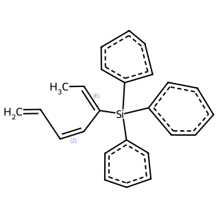 C=C/C=C\C(=C/C)[Si](c1ccccc1)(c1ccccc1)c1ccccc1